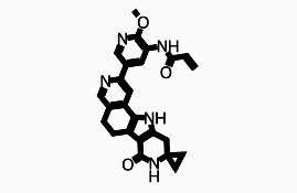 C=CC(=O)Nc1cc(-c2cc3c(cn2)CCc2c-3[nH]c3c2C(=O)NC2(CC2)C3)cnc1OC